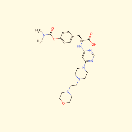 CN(C)C(=O)Oc1ccc(C[C@H](Nc2cc(N3CCN(CCN4CCOCC4)CC3)ncn2)C(=O)O)cc1